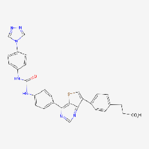 O=C(O)CCc1ccc(-c2csc3c(-c4ccc(NC(=O)Nc5ccc(-n6cnnc6)cc5)cc4)ncnc23)cc1